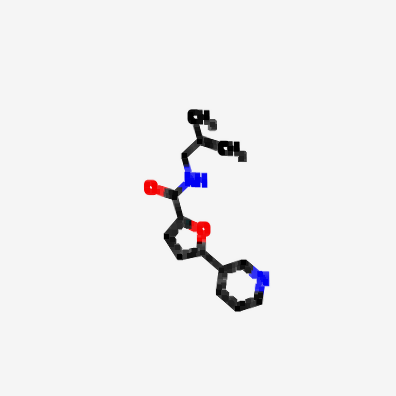 C=C(C)CNC(=O)c1ccc(-c2cccnc2)o1